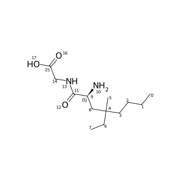 CCCCC(C)(CC)C[C@H](N)C(=O)NCC(=O)O